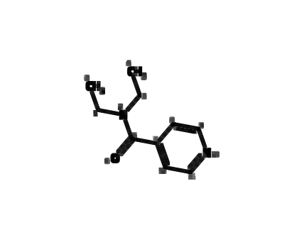 CCN(CC)C(=O)c1ccncc1